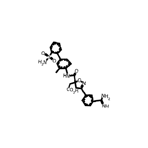 Cc1cc(-c2ccccc2S(N)(=O)=O)ccc1NC(=O)C1(CC(=O)O)CC(c2cccc(C(=N)N)c2)=NO1